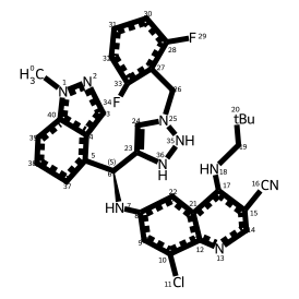 Cn1ncc2c([C@H](Nc3cc(Cl)c4ncc(C#N)c(NCC(C)(C)C)c4c3)C3=CN(Cc4c(F)cccc4F)NN3)cccc21